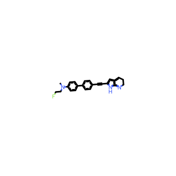 CN(CCF)c1ccc(-c2ccc(C#Cc3cc4c([nH]3)=NCCC=4)cc2)cc1